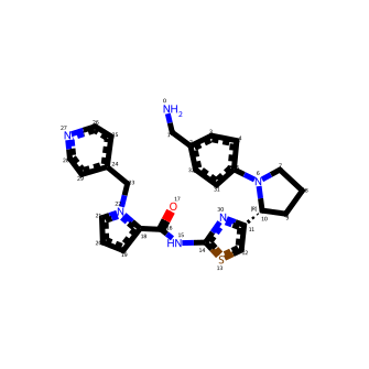 NCc1ccc(N2CCC[C@@H]2c2csc(NC(=O)c3cccn3Cc3ccncc3)n2)cc1